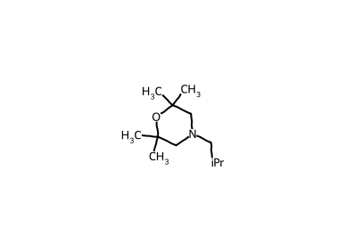 CC(C)CN1CC(C)(C)OC(C)(C)C1